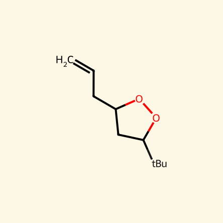 C=CCC1CC(C(C)(C)C)OO1